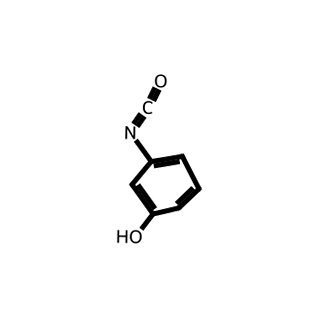 O=C=Nc1cccc(O)c1